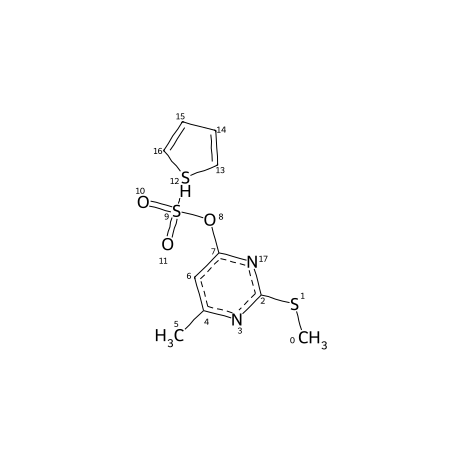 CSc1nc(C)cc(OS(=O)(=O)[SH]2C=CC=C2)n1